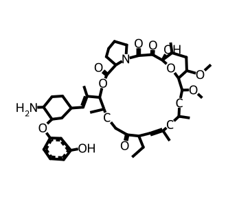 CCC1/C=C(\C)CC(C)CC(OC)C2OC(O)(C(=O)C(=O)N3CCCCC3C(=O)OC(C(C)=CC3CCC(N)C(Oc4cccc(O)c4)C3)C(C)CCC1=O)C(C)CC2OC